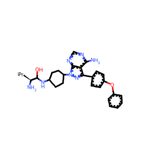 CC(C)[C@H](N)C(O)NC1CCC(n2nc(-c3ccc(Oc4ccccc4)cc3)c3c(N)ncnc32)CC1